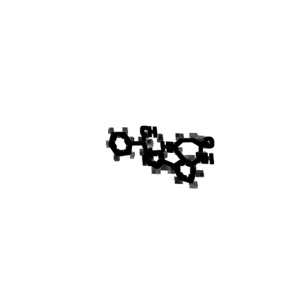 C[C@H](c1ccccc1)n1cc(-c2cccc3c2NCCC(=O)N3)cn1